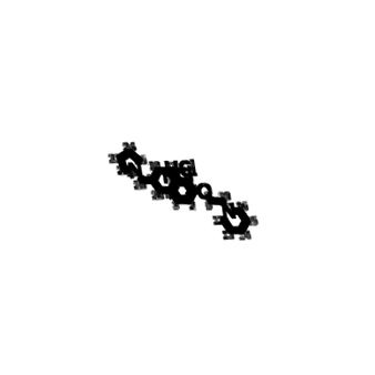 Cl.Cl.c1cc2c(cc1OCCN1CCCCC1)CCC(CN1CCCC1)C2